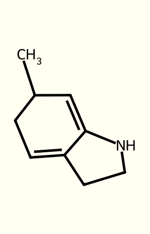 CC1C=C2NCCC2=CC1